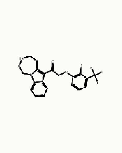 O=C(COc1cccc(C(F)(F)F)c1F)c1c2n(c3ccccc13)CCNCC2